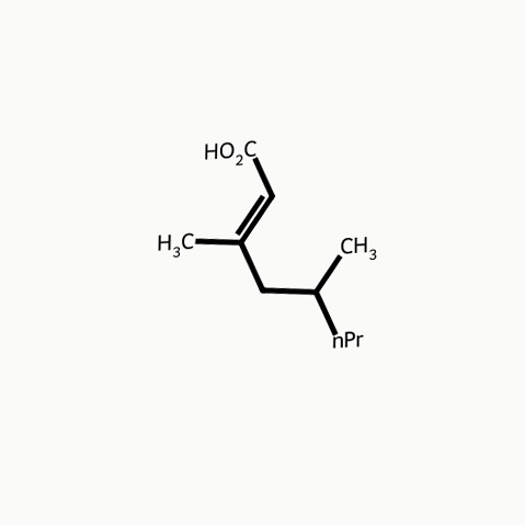 CCCC(C)CC(C)=CC(=O)O